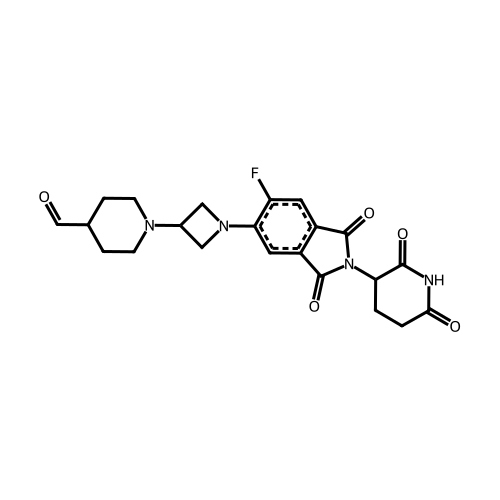 O=CC1CCN(C2CN(c3cc4c(cc3F)C(=O)N(C3CCC(=O)NC3=O)C4=O)C2)CC1